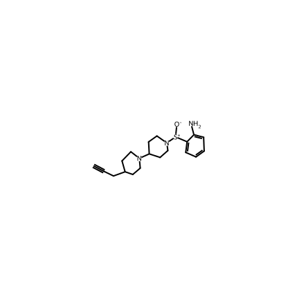 C#CCC1CCN(C2CCN([S+]([O-])c3ccccc3N)CC2)CC1